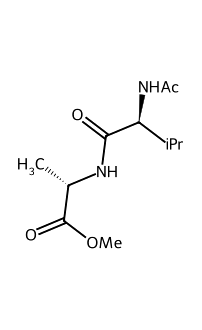 COC(=O)[C@H](C)NC(=O)[C@@H](NC(C)=O)C(C)C